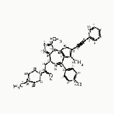 Cc1c(C#Cc2ccccn2)sc2c1C(c1ccc(Cl)cc1)=N[C@@H](CC(=O)N1CCN(C)CC1)c1nnc(C)n1-2